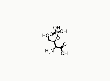 N[C@H](C(=O)O)[C@@H](CO)OP(=O)(O)O